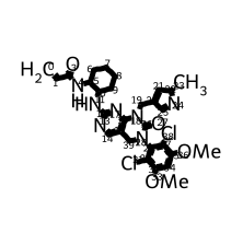 C=CC(=O)NC1CCCCC1Nc1ncc2c(n1)N(CC1=CC(C)N=C1)C(=O)N(c1c(Cl)c(OC)cc(OC)c1Cl)C2